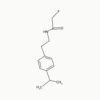 CC(C)c1ccc(CCNC(=O)CF)cc1